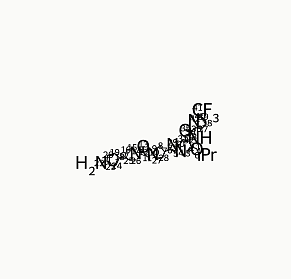 CC(C)Oc1cn2cc(C3CCN(CC(=O)N4CCC(c5ccc(N)cc5)CC4)CC3)nc2cc1NC(=O)c1cccc(C(F)(F)F)n1